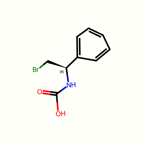 O=C(O)N[C@@H](CBr)c1ccccc1